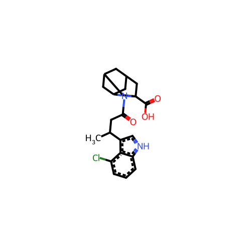 CC(CC(=O)N1C2CC3CC(C2)CC1(C(=O)O)C3)c1c[nH]c2cccc(Cl)c12